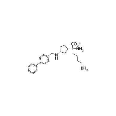 BCCCCC(N)(C(=O)O)[C@H]1CC[C@@H](NCc2ccc(-c3ccccc3)cc2)C1